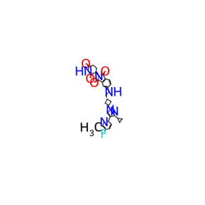 Cc1nc(-c2cn([C@H]3C[C@H](CNc4ccc5c(c4)C(=O)N(C4CCC(=O)NC4=O)C5=O)C3)nc2C2CC2)ccc1F